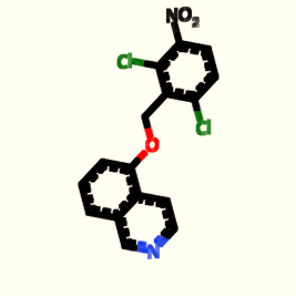 O=[N+]([O-])c1ccc(Cl)c(COc2cccc3cnccc23)c1Cl